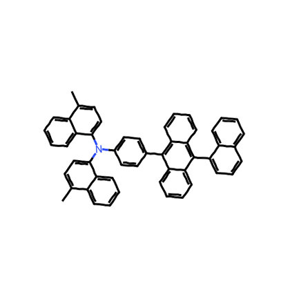 Cc1ccc(N(c2ccc(-c3c4ccccc4c(-c4cccc5ccccc45)c4ccccc34)cc2)c2ccc(C)c3ccccc23)c2ccccc12